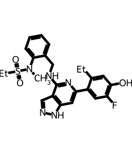 CCc1cc(O)c(F)cc1-c1cc2[nH]ncc2c(NCc2ccccc2N(C)S(=O)(=O)CC)n1